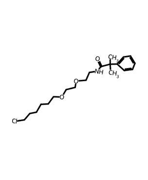 CC(C)(C(=O)NCCOCCOCCCCCCCl)c1ccccc1